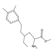 CCC(CCc1ccc(C)c(C)c1)CC(N)C(=O)OC